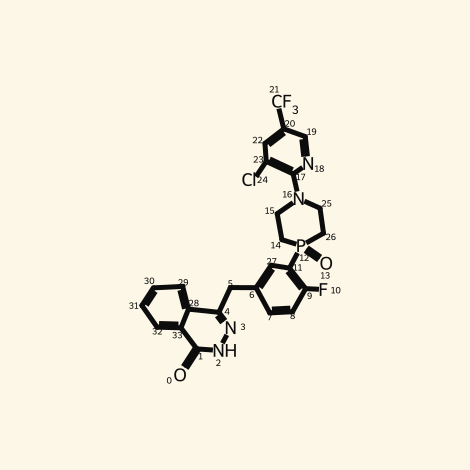 O=c1[nH]nc(Cc2ccc(F)c(P3(=O)CCN(c4ncc(C(F)(F)F)cc4Cl)CC3)c2)c2ccccc12